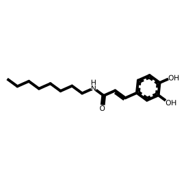 CCCCCCCCNC(=O)C=Cc1ccc(O)c(O)c1